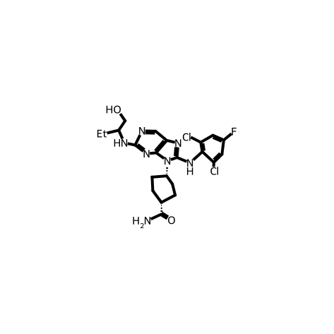 CCC(CO)Nc1ncc2nc(Nc3c(Cl)cc(F)cc3Cl)n([C@H]3CC[C@@H](C(N)=O)CC3)c2n1